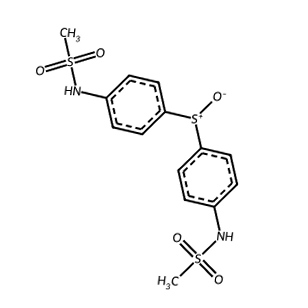 CS(=O)(=O)Nc1ccc([S+]([O-])c2ccc(NS(C)(=O)=O)cc2)cc1